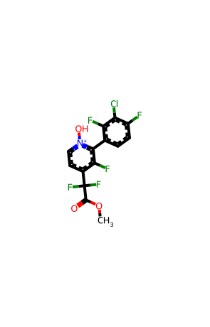 COC(=O)C(F)(F)c1cc[n+](O)c(-c2ccc(F)c(Cl)c2F)c1F